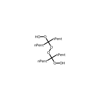 CCCCCC(CCCCC)(OO)OOC(CCCCC)(CCCCC)OO